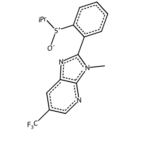 CC(C)[S+]([O-])c1ccccc1-c1nc2cc(C(F)(F)F)cnc2n1C